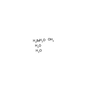 O.O.O.O.[BeH2]